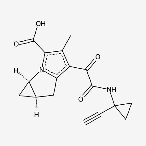 C#CC1(NC(=O)C(=O)c2c(C)c(C(=O)O)n3c2C[C@H]2C[C@H]23)CC1